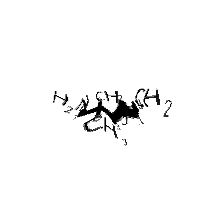 C=CCCC(C)(C)CN